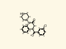 O=C(c1cccc(Cl)c1)C1CC(=O)N(N2CCNCC2)c2ccccc21